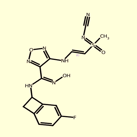 CS(=O)(/C=C/Nc1nonc1C(=NO)NC1Cc2ccc(F)cc21)=NC#N